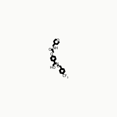 O=C(COc1ccc(/C(CO)=N/OCc2ccc(C(F)(F)F)cc2)cc1)NCC1CCOCC1